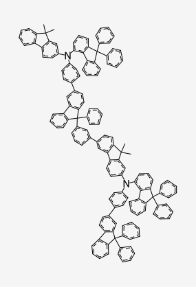 CC1(C)c2ccccc2-c2ccc(N(c3ccc(-c4ccc5c(c4)-c4ccccc4C5(c4ccccc4)c4cccc(-c5ccc6c(c5)-c5ccc(N(c7ccc(-c8ccc9c(c8)C(c8ccccc8)(c8ccccc8)c8ccccc8-9)cc7)c7cccc8c7-c7ccccc7C8(c7ccccc7)c7ccccc7)cc5C6(C)C)c4)cc3)c3cccc4c3-c3ccccc3C4(c3ccccc3)c3ccccc3)cc21